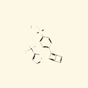 CS(=O)(=O)c1ccc(-c2cc3ccc2-3)cc1.FC(F)(F)c1ccno1